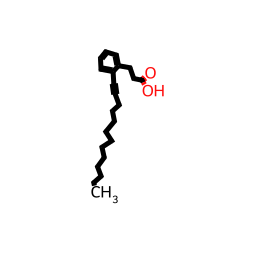 CCCCCCCCCCCC#Cc1ccccc1CCC(=O)O